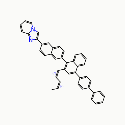 C/C=C\C=C/c1cc(-c2ccc(-c3ccccc3)cc2)c2ccccc2c1-c1ccc2cc(-c3cn4ccccc4n3)ccc2c1